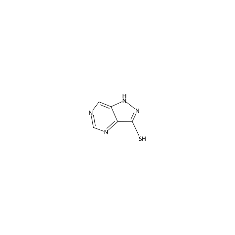 Sc1n[nH]c2cncnc12